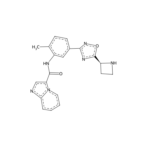 Cc1ccc(-c2noc([C@@H]3CCN3)n2)cc1NC(=O)c1cnc2ccccn12